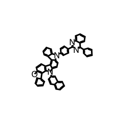 c1ccc(-c2nc(-c3ccc(-n4c5ccccc5c5c6c7ccc8oc9ccccc9c8c7n(-c7ccc8ccccc8c7)c6ccc54)cc3)nc3ccccc23)cc1